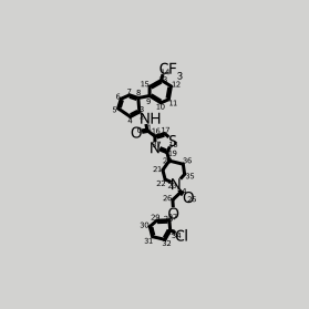 O=C(Nc1ccccc1-c1cccc(C(F)(F)F)c1)c1csc(C2CCN(C(=O)COc3ccccc3Cl)CC2)n1